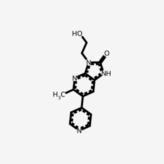 Cc1nc2c(cc1-c1ccncc1)[nH]c(=O)n2CCO